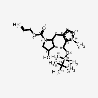 C=CCOC(=O)N1CC(O)CC1Cc1cnn(C)c1CO[Si](C)(C)C(C)(C)C